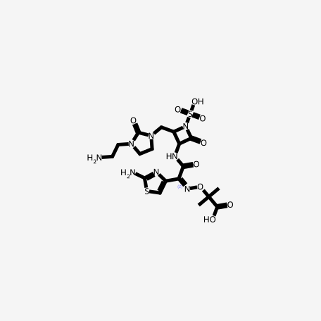 CC(C)(O/N=C(\C(=O)NC1C(=O)N(S(=O)(=O)O)C1CN1CCN(CCN)C1=O)c1csc(N)n1)C(=O)O